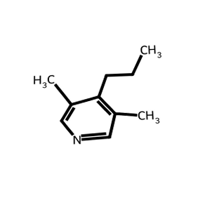 CCCc1c(C)cncc1C